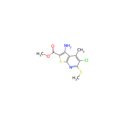 COC(=O)c1sc2nc(SC)c(Cl)c(C)c2c1N